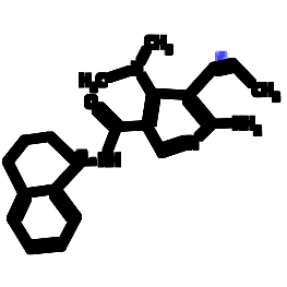 C/C=C\c1c(N)ncc(C(=O)N[C@H]2CCCc3ccccc32)c1N(C)C